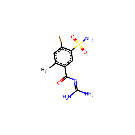 Cc1cc(Br)c(S(N)(=O)=O)cc1C(=O)N=C(N)N